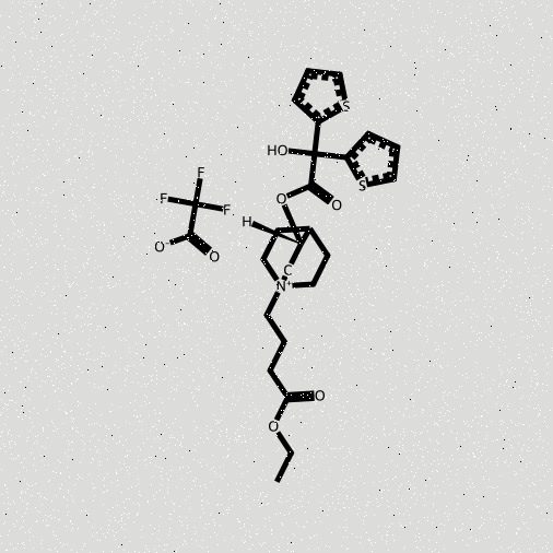 CCOC(=O)CCC[N+]12CCC(CC1)[C@@H](OC(=O)C(O)(c1cccs1)c1cccs1)C2.O=C([O-])C(F)(F)F